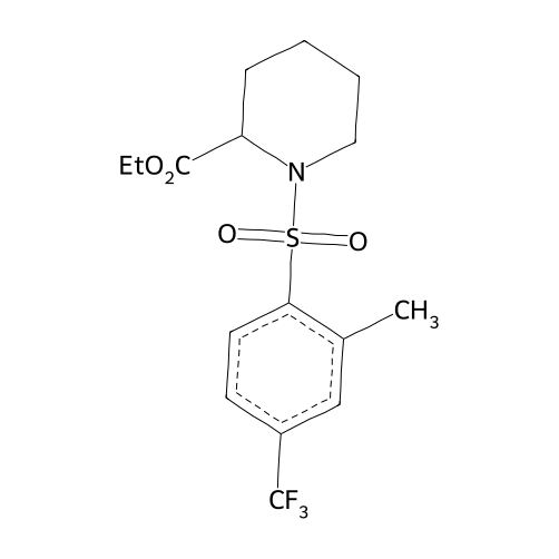 CCOC(=O)C1CCCCN1S(=O)(=O)c1ccc(C(F)(F)F)cc1C